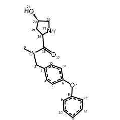 CN(Cc1ccc(Oc2ccccc2)cc1)C(=O)C1C[C@@H](O)CN1